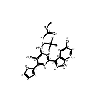 COC(=O)C[C@@H](Nc1nc(-c2n[nH]c3ncc(Cl)cc23)nc(-c2ccco2)c1F)C(C)(C)C